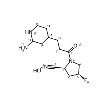 Cl.N#C[C@@H]1C[C@H](F)CN1C(=O)CCC1CCNC(N)C1